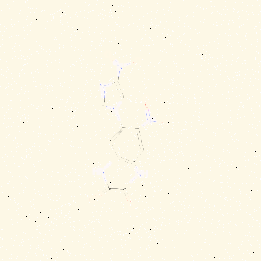 O=c1[nH]c2cc(-n3cnc([N+](=O)[O-])c3)c([N+](=O)[O-])cc2[nH]c1=O